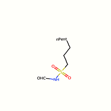 CCCCCCCCS(=O)(=O)NC=O